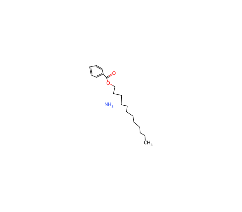 CCCCCCCCCCCCOC(=O)c1ccccc1.N